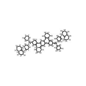 c1ccc(N(c2ccc3c(c2)-c2cccc4cccc-3c24)c2ccc3c(c2)c2ccccc2c2cc4c5ccc(N(c6ccccc6)c6ccc7c(c6)-c6cccc8cccc-7c68)cc5c5ccccc5c4cc32)cc1